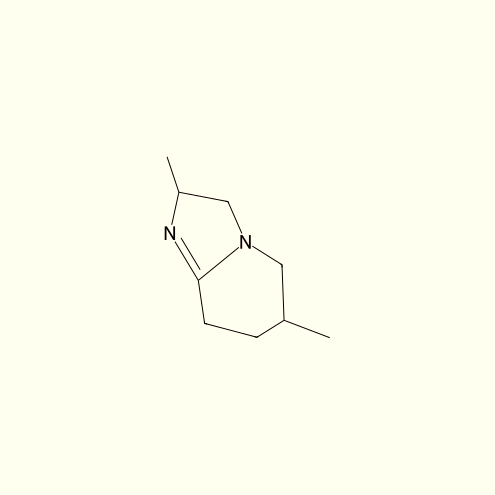 CC1CCC2=NC(C)CN2C1